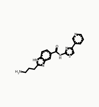 NCCCc1nc2cc(C(=O)Nc3nc(-c4cccnc4)cs3)ccc2[nH]1